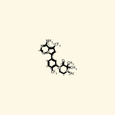 CC(=O)N1CCN(c2cc(-c3cc(C(F)(F)F)c4c(N)ncnn34)ccc2C(F)(F)F)C(=O)C1(C)C